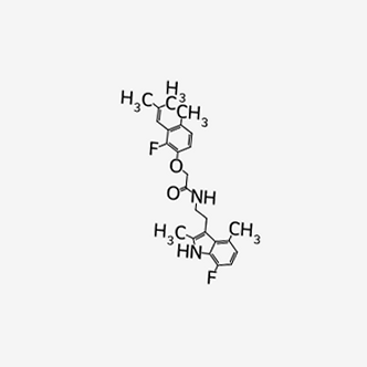 CC(C)=Cc1c(C)ccc(OCC(=O)NCCc2c(C)[nH]c3c(F)ccc(C)c23)c1F